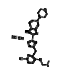 CC(C)COc1ccc(Cl)cc1Cc1ccc(-c2nc3cc(N4CCOCC4)ccc3[nH]2)o1.Cl.Cl